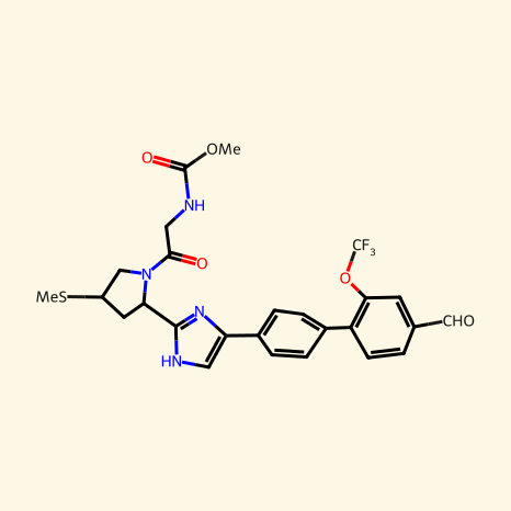 COC(=O)NCC(=O)N1CC(SC)CC1c1nc(-c2ccc(-c3ccc(C=O)cc3OC(F)(F)F)cc2)c[nH]1